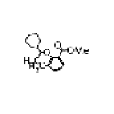 COC(=O)c1cccc(C)c1OC(C)C1CCCCC1